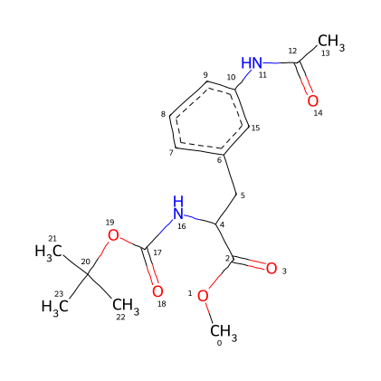 COC(=O)C(Cc1cccc(NC(C)=O)c1)NC(=O)OC(C)(C)C